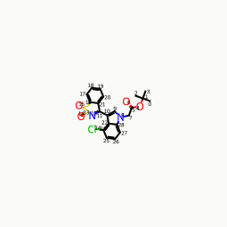 CC(C)(C)OC(=O)Cn1cc(C2=NS(=O)(=O)c3ccccc32)c2c(Cl)cccc21